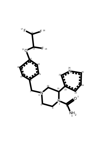 NC(=O)N1CCN(Cc2ccc(OC(F)C(F)F)cc2)CC1c1cccnc1